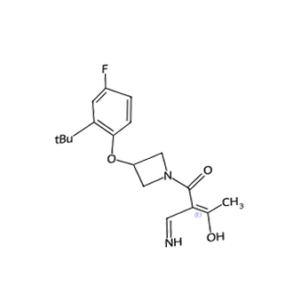 C/C(O)=C(/C=N)C(=O)N1CC(Oc2ccc(F)cc2C(C)(C)C)C1